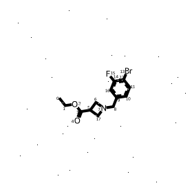 CCOC(=O)C1CN(Cc2ccc(Br)c(F)c2)C1